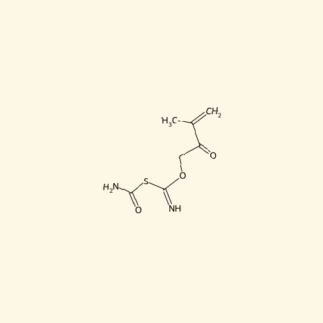 C=C(C)C(=O)COC(=N)SC(N)=O